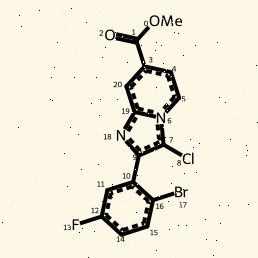 COC(=O)c1ccn2c(Cl)c(-c3cc(F)ccc3Br)nc2c1